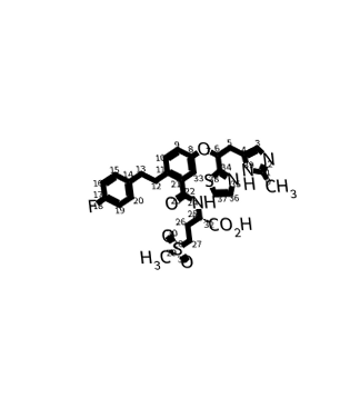 Cc1ncc(CC(Oc2ccc(CCc3ccc(F)cc3)c(C(=O)N[C@@H](CCS(C)(=O)=O)C(=O)O)c2)c2nccs2)[nH]1